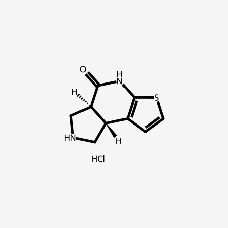 Cl.O=C1Nc2sccc2[C@@H]2CNC[C@@H]12